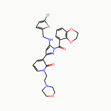 O=C(c1cccc2c1OCCO2)n1nc(-c2cccn(CCN3CCOCC3)c2=O)cc1NCc1ccc(Cl)s1